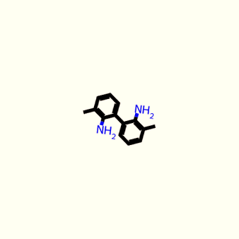 Cc1cccc(-c2cccc(C)c2N)c1N